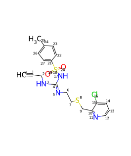 C#CCN/C(=N/CCSCc1ncccc1Cl)NS(=O)(=O)c1ccc(C)cc1